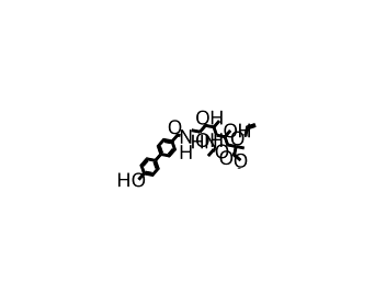 C=CCOC(C)(CC(O)C(NC(C)=O)C(C)[C@H](O)C(O)CNC(=O)c1ccc(-c2ccc(O)cc2)cc1)C(=O)OC